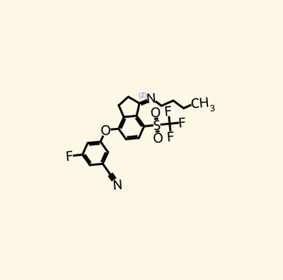 CCCC/N=C1/CCc2c(Oc3cc(F)cc(C#N)c3)ccc(S(=O)(=O)C(F)(F)F)c21